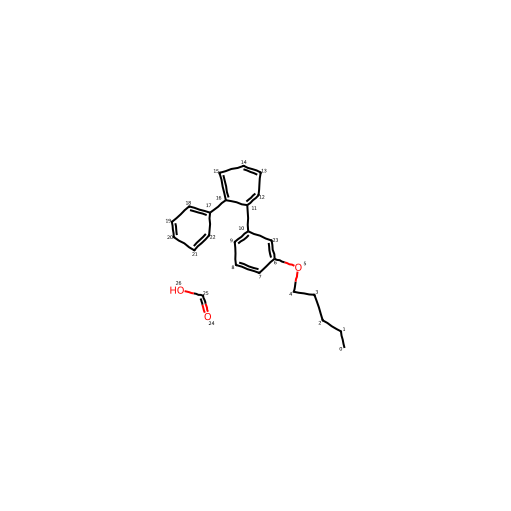 CCCCCOc1cccc(-c2ccccc2-c2ccccc2)c1.O=CO